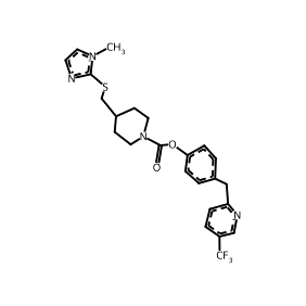 Cn1ccnc1SCC1CCN(C(=O)Oc2ccc(Cc3ccc(C(F)(F)F)cn3)cc2)CC1